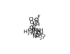 CC1(C)C(N)=N[C@](C)(c2nc(NC(=O)c3ncc(F)cc3Cl)ccc2F)[C@@H]2CCN[SH]21=O